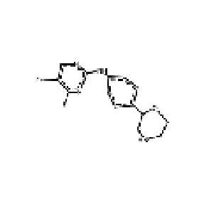 CCc1cnc(Nc2ccc(C3CNCCO3)cc2)nc1C